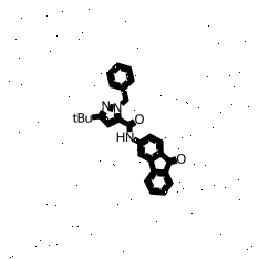 CC(C)(C)c1cc(C(=O)Nc2ccc3c(c2)-c2ccccc2C3=O)n(Cc2ccccc2)n1